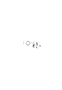 CC(C)N1C(=O)N(c2ccc(Cl)cc2)CSC1=NC(C)(C)C